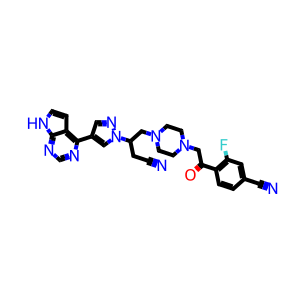 N#CCC(CN1CCN(CC(=O)c2ccc(C#N)cc2F)CC1)n1cc(-c2ncnc3[nH]ccc23)cn1